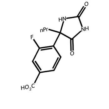 CCCC1(c2ccc(C(=O)O)cc2F)NC(=O)NC1=O